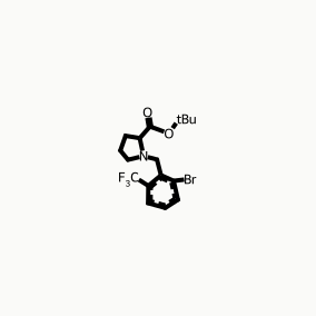 CC(C)(C)OC(=O)C1CCCN1Cc1c(Br)cccc1C(F)(F)F